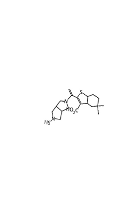 C=C(C1=C(C(=O)O)C2CC(C)(C)CCC2S1)N1CC2CN(S)CC2C1